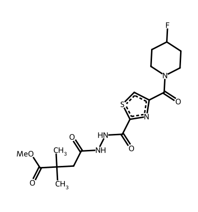 COC(=O)C(C)(C)CC(=O)NNC(=O)c1nc(C(=O)N2CCC(F)CC2)cs1